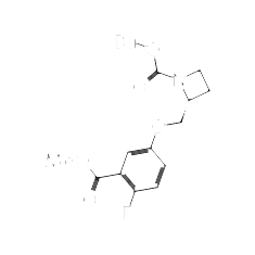 COC(=O)c1cc(OC[C@@H]2CCN2C(=O)OC(C)(C)C)ccc1F